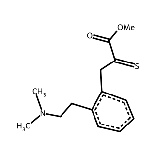 COC(=O)C(=S)Cc1ccccc1CCN(C)C